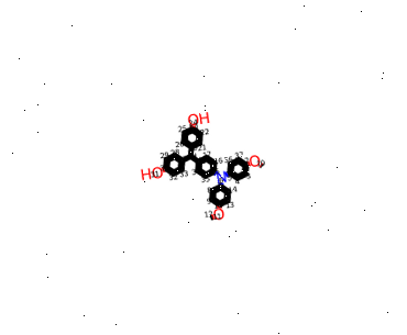 COc1ccc(N(c2ccc(OC)cc2)c2ccc(C(c3ccc(O)cc3)c3ccc(O)cc3)cc2)cc1